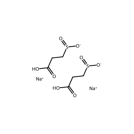 O=C(O)CCS(=O)[O-].O=C(O)CCS(=O)[O-].[Na+].[Na+]